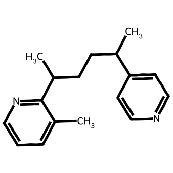 Cc1cccnc1C(C)CCC(C)c1ccncc1